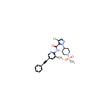 Cc1cc(C#Cc2ccccc2)cnc1NC(=O)c1c(Cl)cnn1C1CCN(S(C)(=O)=O)CC1